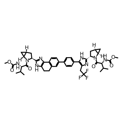 COC(=O)N[C@H](C(=O)N1[C@@H]2C[C@@H]2C[C@H]1c1nc2c([nH]1)CCc1cc(-c3ccc(-c4[nH]c([C@@H]5C[C@H]6C[C@H]6N5C(=O)[C@@H](NC(=O)OC)C(C)C)nc4CC(F)(F)F)cc3)ccc1-2)C(C)C